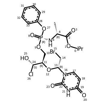 CC(C)OC(=O)[C@@H](C)N[P@@](=O)(OC[C@@H](O[C@H](CBr)n1ccc(=O)[nH]c1=O)[C@@H](O)Cl)Oc1ccccc1